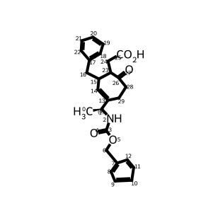 C[C@H](NC(=O)OCc1ccccc1)C1=CC(Cc2ccccc2)C(CC(=O)O)C(=O)CC1